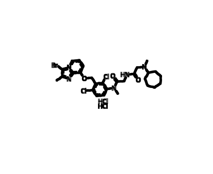 Cc1nc2c(OCc3c(Cl)ccc(N(C)C(=O)CNC(=O)CN(C)C4CCCCCC4)c3Cl)cccn2c1Br.Cl.Cl